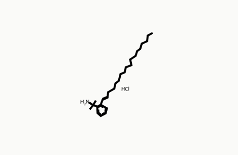 CCCCCCCCCCCCCCCCC=Cc1ccccc1C(C)(C)N.Cl